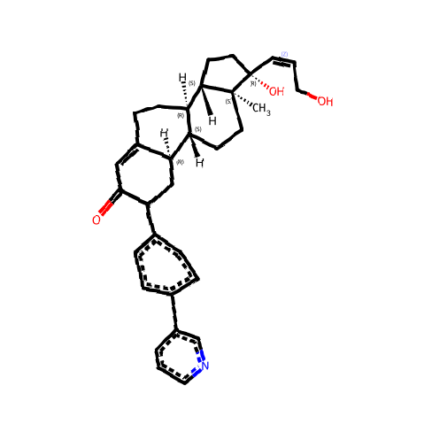 C[C@]12CC[C@H]3[C@@H](CCC4=CC(=O)C(c5ccc(-c6cccnc6)cc5)C[C@@H]43)[C@@H]1CC[C@@]2(O)/C=C\CO